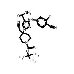 CC(C)(C)OC(=O)N1CCC(CC#N)(n2cc(C(N)=O)c(Nc3ccc(C#N)c(F)c3)n2)CC1